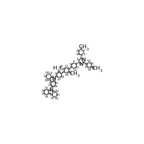 Cc1ccc(-c2cc(-c3ccc(-c4cc(C)c(-c5ccc(-n6c7ccccc7c7cc(-n8c9ccccc9c9ccccc98)ccc76)cc5)cc4C)cc3)nc(-c3ccc(C)cc3)n2)cc1